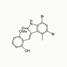 COc1cccc(O)c1C=C1C(=O)Nc2c(Br)cc(Br)c(C)c21